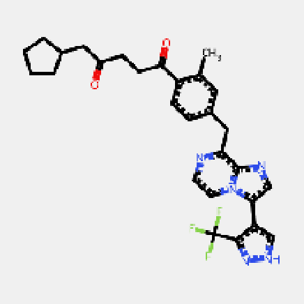 Cc1cc(Cc2nccn3c(-c4c[nH]nc4C(F)(F)F)cnc23)ccc1C(=O)CCC(=O)CC1CCCC1